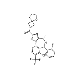 C[C@@H]1N=C(c2ncccc2F)c2c(ccc(C(F)(F)F)c2Cl)-n2nc(C(=O)N3CC4(CCCO4)C3)nc21